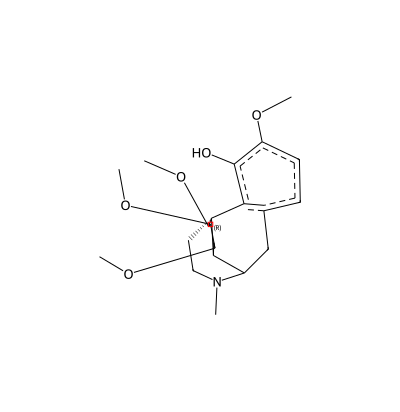 COc1ccc2c(c1O)[C@@]13CCN(C)C(C2)C1CC(OC)C(OC)C3OC